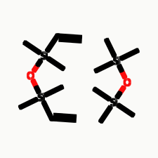 C=C[Si](C)(C)O[Si](C)(C)C=C.C[Si](C)(C)O[Si](C)(C)C